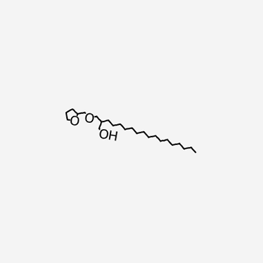 CCCCCCCCCCCCCCCCC(CO)COCC1CCCO1